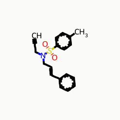 C#CCN(CC=Cc1ccccc1)S(=O)(=O)c1ccc(C)cc1